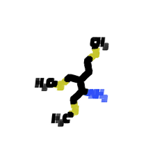 CSCCC(CSC)C(N)CSC